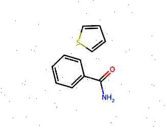 NC(=O)c1ccccc1.c1ccsc1